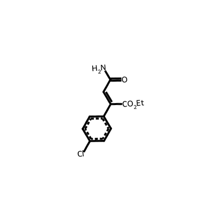 CCOC(=O)C(=CC(N)=O)c1ccc(Cl)cc1